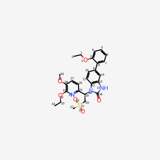 CCOc1ccccc1-c1ccc2c(c1)[nH]c(=O)n2[C@@H](CS(C)(=O)=O)c1ccc(OC)c(OCC)n1